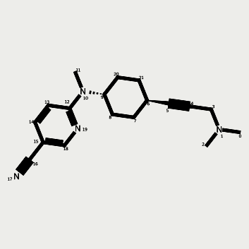 CN(C)CC#C[C@H]1CC[C@H](N(C)c2ccc(C#N)cn2)CC1